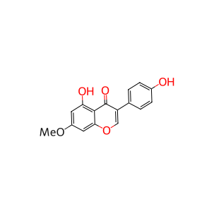 COc1cc(O)c2c(=O)c(-c3ccc(O)cc3)coc2c1